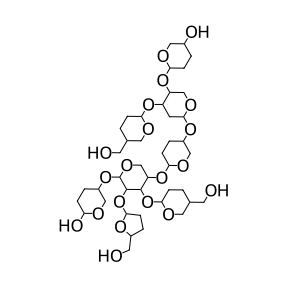 OCC1CCC(OC2CC(OC3CCC(OC4COC(OC5CCC(O)OC5)C(OC5CCC(CO)O5)C4OC4CCC(CO)CO4)OC3)OCC2OC2CCC(O)CO2)OC1